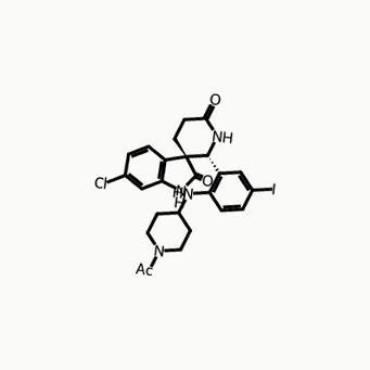 CC(=O)N1CCC(Nc2ccc(I)cc2[C@H]2NC(=O)CC[C@]23C(=O)Nc2cc(Cl)ccc23)CC1